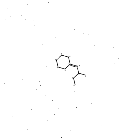 CCC(C)N=C1CCCCC1